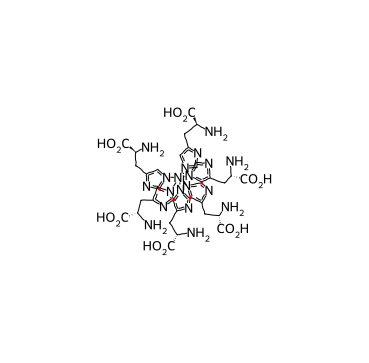 N[C@@H](Cc1c[n]([Ni]([n]2cnc(C[C@H](N)C(=O)O)c2)([n]2cnc(C[C@H](N)C(=O)O)c2)([n]2cnc(C[C@H](N)C(=O)O)c2)([n]2cnc(C[C@H](N)C(=O)O)c2)[n]2cnc(C[C@H](N)C(=O)O)c2)cn1)C(=O)O